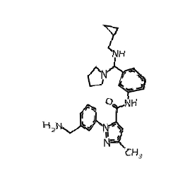 Cc1cc(C(=O)Nc2cccc(C(NCC3CC3)N3CCCC3)c2)n(-c2cccc(CN)c2)n1